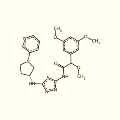 COc1cc(OC)cc(C(OC)C(=O)Nc2nnc(N[C@@H]3CCN(c4cccnn4)C3)s2)c1